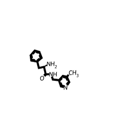 Cc1cncc(CNC(=O)[C@H](N)Cc2ccccc2)c1